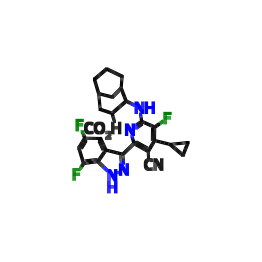 N#Cc1c(-c2n[nH]c3c(F)cc(F)cc23)nc(NC2C3CCCC(C3)CC2C(=O)O)c(F)c1C1CC1